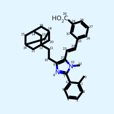 Cc1ccccc1-c1nc(CCC23CC4CC(CC(C4)C2)C3)c(/C=C/c2cccc(C(=O)O)c2)n1C